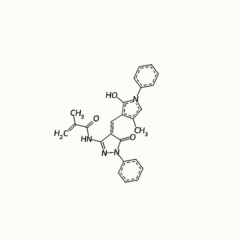 C=C(C)C(=O)NC1=NN(c2ccccc2)C(=O)C1=Cc1c(C)cn(-c2ccccc2)c1O